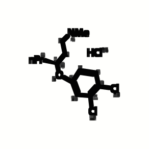 CCC[C@@H](CCNC)Oc1ccc(Cl)c(Cl)c1.Cl